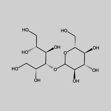 OC[C@@H](O)[C@@H](O)[C@H](OC1O[C@H](CO)[C@@H](O)[C@H](O)[C@H]1O)[C@H](O)CO